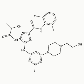 CC(O)C(=O)O.Cc1nc(Nc2ncc(C(=O)Nc3c(C)cccc3Cl)s2)cc(N2CCN(CCO)CC2)n1